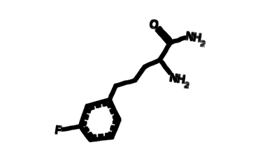 NC(=O)C(N)CCCc1cccc(F)c1